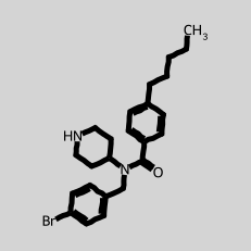 CCCCCc1ccc(C(=O)N(Cc2ccc(Br)cc2)C2CCNCC2)cc1